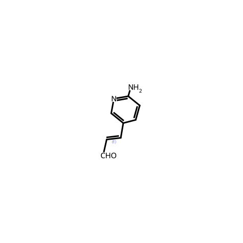 Nc1ccc(/C=C/C=O)cn1